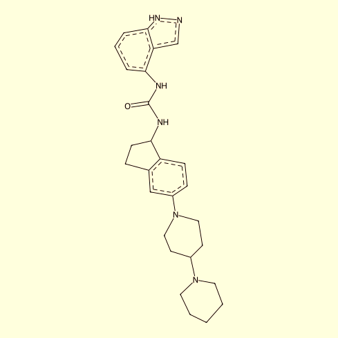 O=C(Nc1cccc2[nH]ncc12)NC1CCc2cc(N3CCC(N4CCCCC4)CC3)ccc21